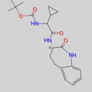 CC(C)(C)OC(=O)NC(C(=O)N[C@H]1CCc2ccccc2NC1=O)C1CC1